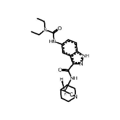 CCN(CC)C(=O)Nc1ccc2[nH]nc(C(=O)N[C@@H]3CN4CCC3CC4)c2c1